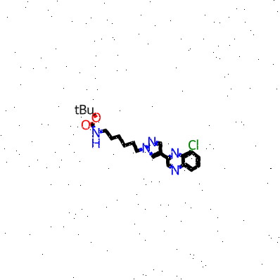 CC(C)(C)OC(=O)NCCCCCCn1cc(-c2cnc3cccc(Cl)c3n2)cn1